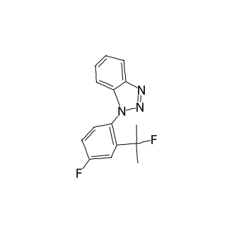 CC(C)(F)c1cc(F)ccc1-n1nnc2ccccc21